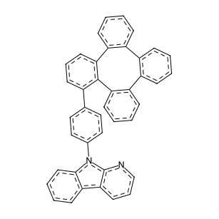 c1ccc2c(c1)-c1ccccc1-c1cccc(-c3ccc(-n4c5ccccc5c5cccnc54)cc3)c1-c1ccccc1-2